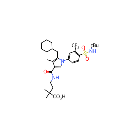 Cc1c(C(=O)NCCC(C)(C)C(=O)O)cn(-c2ccc(S(=O)(=O)NC(C)(C)C)c(C(F)(F)F)c2)c1CC1CCCCC1